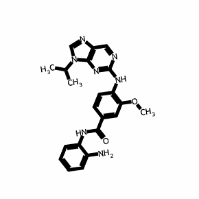 COc1cc(C(=O)Nc2ccccc2N)ccc1Nc1ncc2ncn(C(C)C)c2n1